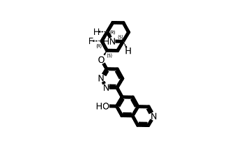 Oc1cc2ccncc2cc1-c1ccc(O[C@H]2C[C@@H]3CCC[C@@H](N3)[C@H]2F)nn1